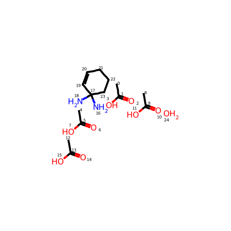 CC(=O)O.CC(=O)O.CC(=O)O.CC(=O)O.NC1(N)C=CCCC1.O